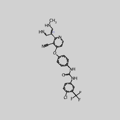 CN/C=C(\C=N)c1nccc(Oc2ccc(NC(=O)Nc3ccc(Cl)c(C(F)(F)F)c3)cc2)c1C#N